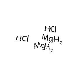 Cl.Cl.[MgH2].[MgH2]